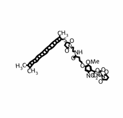 COc1cc(C(C)OC(=O)ON2C(=O)CCC2=O)c([N+](=O)[O-])cc1OCCCC(=O)NCCN1C(=O)CC(SC2C(C)C3C2C2C3C3C2C2C3C3C2C2C4C5C6C7C8C9C(C)C(C)C9C8C7C6C5C4C32)C1=O